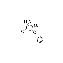 COc1cc(N)c(OC)c(OCc2ccccc2)c1